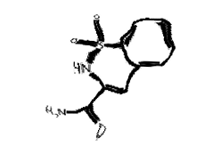 NC(=O)C1=Cc2ccccc2S(=O)(=O)N1